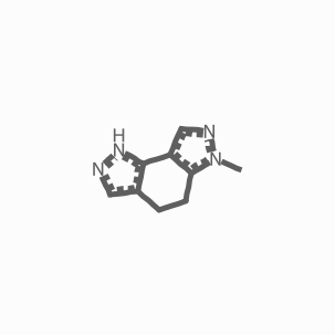 Cn1ncc2c1CCc1cn[nH]c1-2